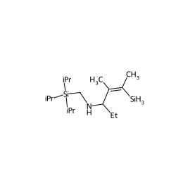 CCC(NC[Si](C(C)C)(C(C)C)C(C)C)C(C)=C(C)[SiH3]